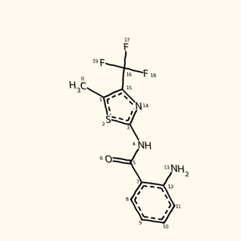 Cc1sc(NC(=O)c2ccccc2N)nc1C(F)(F)F